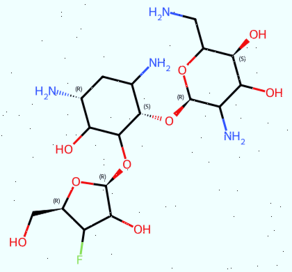 NCC1O[C@H](O[C@H]2C(N)C[C@@H](N)C(O)C2O[C@@H]2O[C@H](CO)C(F)C2O)C(N)C(O)[C@@H]1O